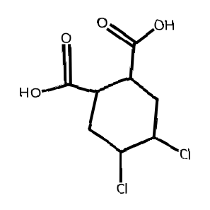 O=C(O)C1CC(Cl)C(Cl)CC1C(=O)O